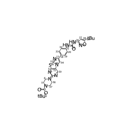 CC(C)(C)OC(=O)N1CCN(c2ncc3c(n2)sc2nc(-c4ccc(NC(=O)Nc5cc(C(C)(C)C)on5)cc4)cn23)CC1